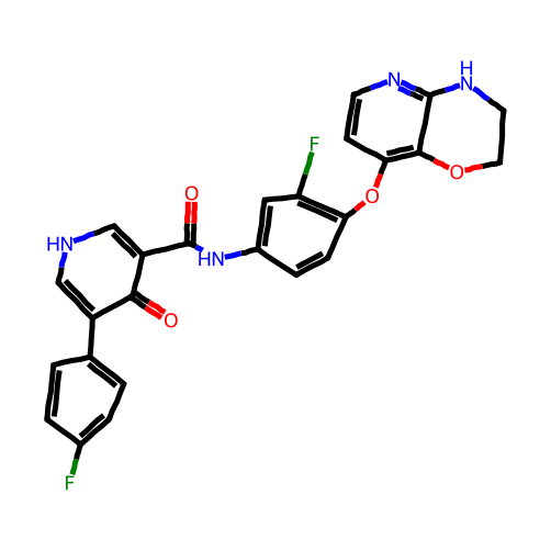 O=C(Nc1ccc(Oc2ccnc3c2OCCN3)c(F)c1)c1c[nH]cc(-c2ccc(F)cc2)c1=O